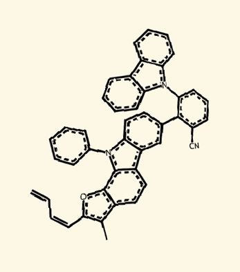 C=C/C=C\c1oc2c(ccc3c4cc(-c5c(C#N)cccc5-n5c6ccccc6c6ccccc65)ccc4n(-c4ccccc4)c32)c1C